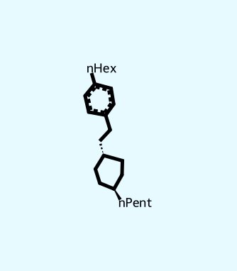 CCCCCCc1ccc(CC[C@H]2CC[C@H](CCCCC)CC2)cc1